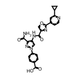 NC(=O)c1nn(-c2ccc(C(=O)O)cc2)cc1NC(=O)c1coc(-c2ccnc(C3CC3)c2)n1